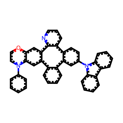 c1ccc(-n2ccoc3cc4c(cc32)c2ccccc2c2cc(-n3c5ccccc5c5ccccc53)ccc2c2cccnc24)cc1